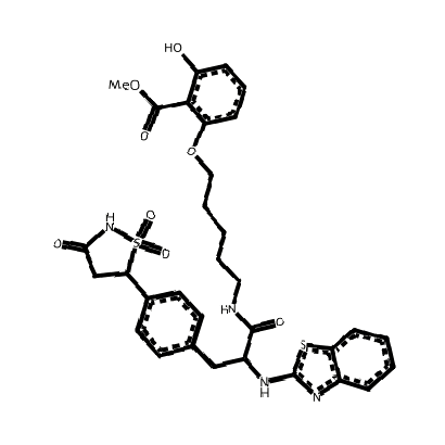 COC(=O)c1c(O)cccc1OCCCCCNC(=O)C(Cc1ccc(C2CC(=O)NS2(=O)=O)cc1)Nc1nc2ccccc2s1